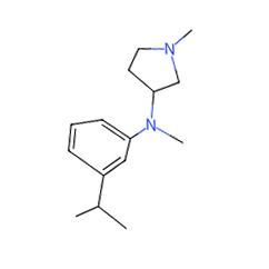 CC(C)c1cccc(N(C)C2CCN(C)C2)c1